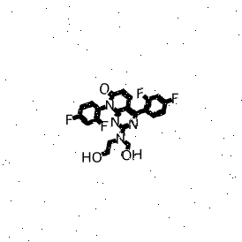 O=c1ccc2c(-c3ccc(F)cc3F)nc(N(CO)CCO)nc2n1-c1ccc(F)cc1F